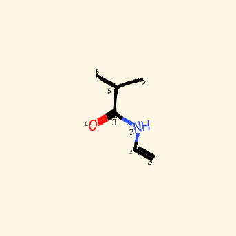 C=CNC(=O)C(C)C